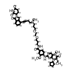 CC[C@@H]1C(=O)N(C)c2cnc(Nc3ccc(C(=O)NCCCOCCOCCCN(C)CCC#Cc4cccc5c4CN(C4CCC(=O)NC4=O)C5=O)cc3OC)nc2N1C1CCCC1